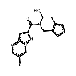 CC1Cc2sccc2CN1C(=O)c1cc2ncc(Cl)cn2n1